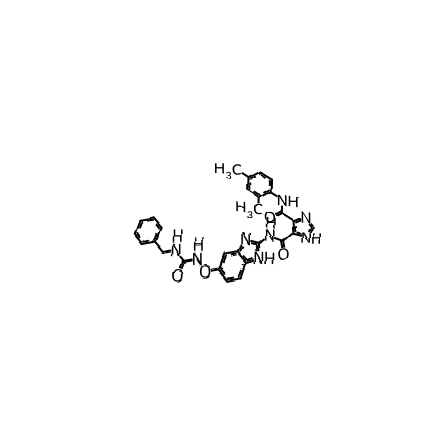 Cc1ccc(NC(=O)c2nc[nH]c2C(=O)Nc2nc3cc(ONC(=O)NCc4ccccc4)ccc3[nH]2)c(C)c1